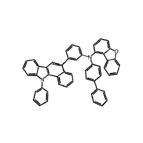 c1ccc(-c2ccc(N(c3cccc(-c4cc5c6ccccc6n(-c6ccccc6)c5c5ccccc45)c3)c3cccc4oc5ccccc5c34)cc2)cc1